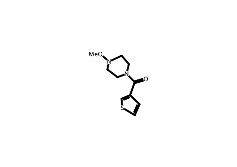 CON1CCN(C(=O)c2ccsc2)CC1